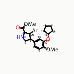 COC(=O)C1NCC(c2ccc(OC)c(OC3CCCC3)c2)C1C(C)=O